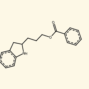 O=C(OCCCC1Cc2ccccc2N1)c1ccccc1